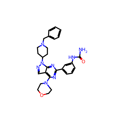 NC(=O)Nc1cccc(-c2nc(N3CCOCC3)c3cnn(C4CCN(Cc5ccccc5)CC4)c3n2)c1